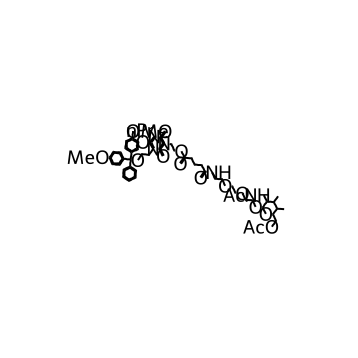 CCCn1c(=O)n(CCOC(=O)CCCC(=O)NCCOCCOCCOC2OC(COC(C)=O)C(C)C(C)C2NC(C)=O)c(=O)n(CCOC(c2ccccc2)(c2ccc(OC)cc2)c2ccc(OC)cc2)c1=O